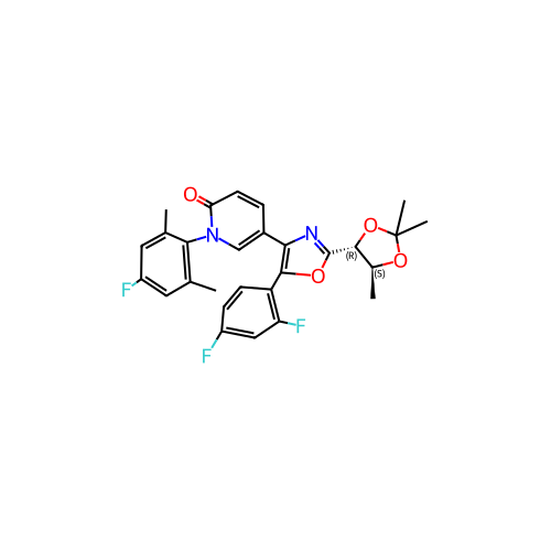 Cc1cc(F)cc(C)c1-n1cc(-c2nc([C@@H]3OC(C)(C)O[C@H]3C)oc2-c2ccc(F)cc2F)ccc1=O